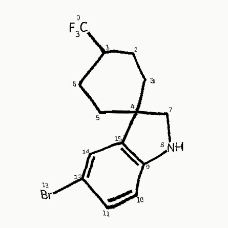 FC(F)(F)C1CCC2(CC1)CNc1ccc(Br)cc12